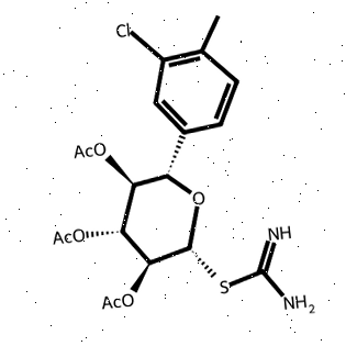 CC(=O)O[C@@H]1[C@@H](OC(C)=O)[C@H](c2ccc(C)c(Cl)c2)O[C@H](SC(=N)N)[C@H]1OC(C)=O